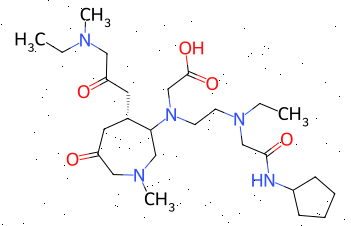 CCN(C)CC(=O)C[C@H]1CC(=O)CN(C)CC1N(CCN(CC)CC(=O)NC1CCCC1)CC(=O)O